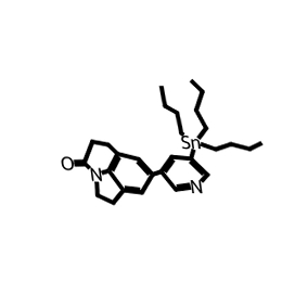 CCC[CH2][Sn]([CH2]CCC)([CH2]CCC)[c]1cncc(-c2cc3c4c(c2)CCN4C(=O)CC3)c1